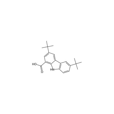 CC(C)(C)c1ccc2[nH]c3c(C(=O)O)cc(C(C)(C)C)cc3c2c1